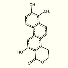 Cc1c(O)ccc2c1ccc1c3c(c(O)cc12)C(=O)OCC3